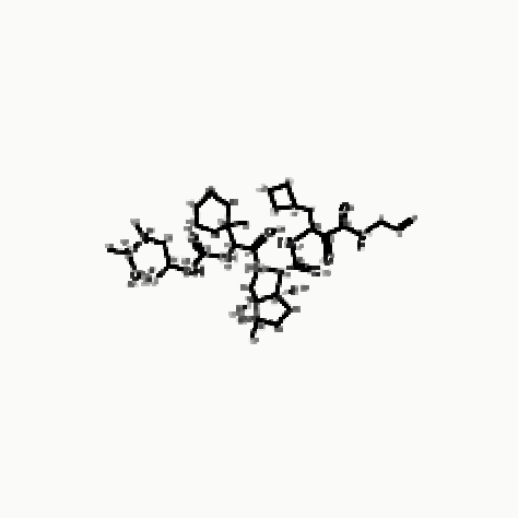 C=CCNC(=O)C(=O)C(CC1CCC1)NC(=O)[C@@H]1[C@H]2CCC(C)(C)[C@H]2CN1C(=O)[C@@H](NC(=O)N[C@H](CN(C)[S+](C)[O-])C(C)(C)C)C1(C)CCCCC1